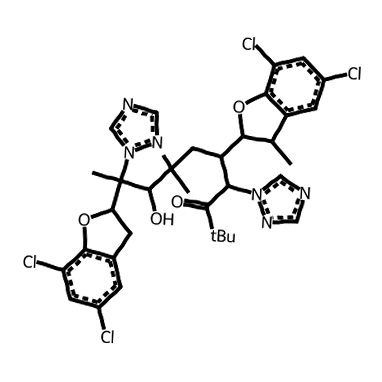 CC1c2cc(Cl)cc(Cl)c2OC1C(CC(C)(C)C(O)C(C)(C1Cc2cc(Cl)cc(Cl)c2O1)n1cncn1)C(C(=O)C(C)(C)C)n1cncn1